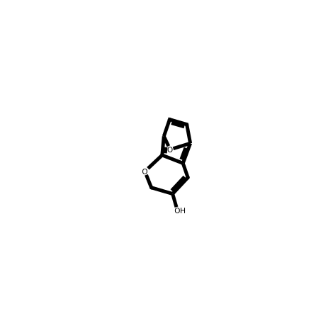 OC1=Cc2c(c3ccc2o3)OC1